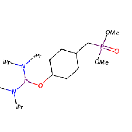 COP(=O)(CC1CCC(OP(N(C(C)C)C(C)C)N(C(C)C)C(C)C)CC1)OC